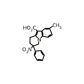 Cc1ccc2c(c1)c(C(=O)O)c1n2CC(c2ccccc2)([N+](=O)[O-])CC1